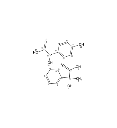 CC(O)(C(=O)O)c1ccccc1.O=C(O)C(O)c1ccc(O)cc1